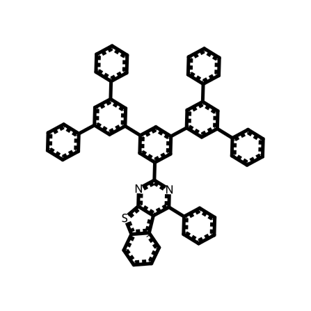 c1ccc(-c2cc(-c3ccccc3)cc(-c3cc(-c4cc(-c5ccccc5)cc(-c5ccccc5)c4)cc(-c4nc(-c5ccccc5)c5c(n4)sc4ccccc45)c3)c2)cc1